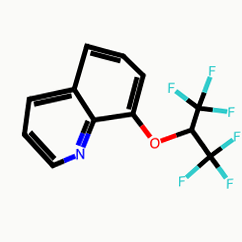 FC(F)(F)C(Oc1cccc2cccnc12)C(F)(F)F